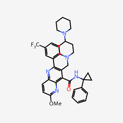 COc1ccc2nc(-c3cccc(C(F)(F)F)c3)c(CN3CCC(N4CCCCC4)CC3)c(C(=O)NC3(c4ccccc4)CC3)c2n1